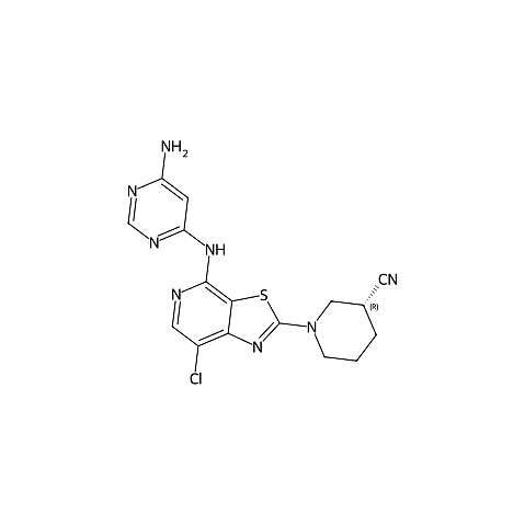 N#C[C@@H]1CCCN(c2nc3c(Cl)cnc(Nc4cc(N)ncn4)c3s2)C1